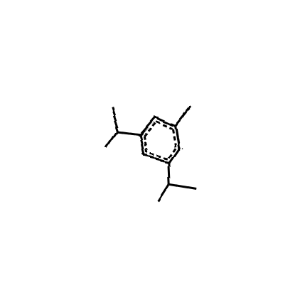 Cc1[c]c(C(C)C)cc(C(C)C)c1